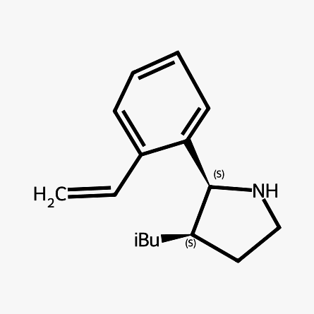 C=Cc1ccccc1[C@H]1NCC[C@H]1C(C)CC